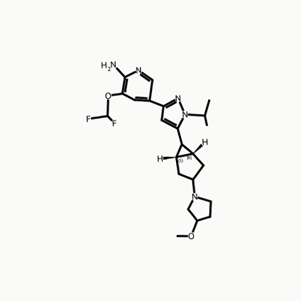 COC1CCN(C2C[C@@H]3C(c4cc(-c5cnc(N)c(OC(F)F)c5)nn4C(C)C)[C@@H]3C2)C1